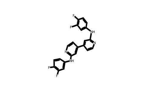 Fc1ccc(Nc2cc(-c3ccnc(Nc4ccc(F)c(F)c4)c3)ccn2)cc1F